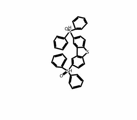 O=[SH](c1ccccc1)(c1ccccc1)c1ccc2sc3ccc([SH](=O)(c4ccccc4)c4ccccc4)cc3c2c1